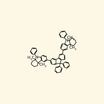 CC12CCCCC1(C)N(c1ccccc1)c1ccc(-c3ccc4c(c3)-c3cc(-c5ccc6c(c5)C5(C)CCCCC5(C)N6c5ccccc5)ccc3C4(c3ccccc3)c3ccccc3)cc12